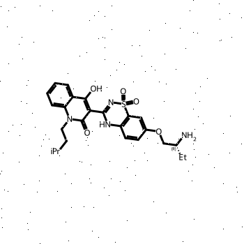 CC[C@@H](N)COc1ccc2c(c1)S(=O)(=O)N=C(c1c(O)c3ccccc3n(CCC(C)C)c1=O)N2